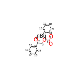 CCCCOC(COC(=O)Oc1ccccc1)c1ccccc1